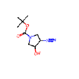 CC(C)(C)OC(=O)N1CC(O)C([N+]#N)C1